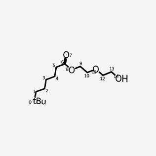 CC(C)(C)CCCCCC(=O)OCCOCCO